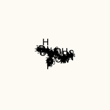 CCC(O)(CNC(=O)c1cc(-c2cscn2)nn1C)c1cc(C(C)(C)NC(=O)OC(C)(C)C)cc(-c2ccc(F)cc2)n1